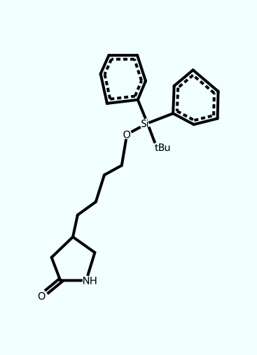 CC(C)(C)[Si](OCCCCC1CNC(=O)C1)(c1ccccc1)c1ccccc1